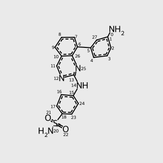 Nc1cccc(-c2cccc3cnc(Nc4ccc(S(N)(=O)=O)cc4)nc23)c1